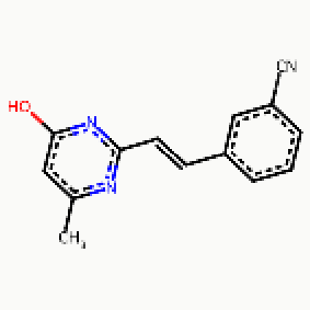 Cc1cc(O)nc(C=Cc2cccc(C#N)c2)n1